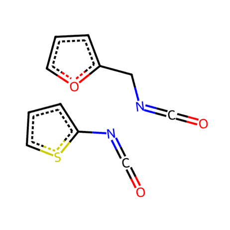 O=C=NCc1ccco1.O=C=Nc1cccs1